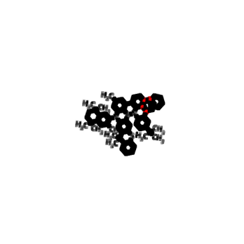 Cc1cc2c3c(c1)N(c1cc4c(cc1C)C(C)(C)CCC4(C)C)c1cc4c(cc1B3N(c1ccc(C(C)(C)C)cc1-c1ccccc1)c1c-2ccc2c1oc1ccccc12)Sc1ccccc1C4(C)C